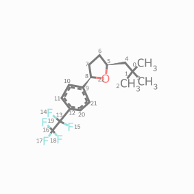 CC(C)(C)C[C@@H]1CC[C@H](c2ccc(C(F)(F)C(F)(F)F)cc2)O1